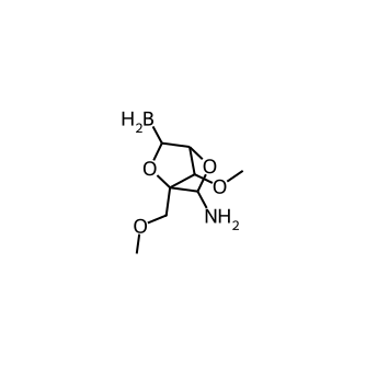 BC1OC2(COC)C(N)OC1C2OC